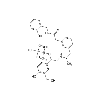 CC(Cc1cccc(CC(=O)NCc2ccccc2O)c1)NCC(O[Si](C)(C)C(C)(C)C)c1ccc(O)c(CO)c1